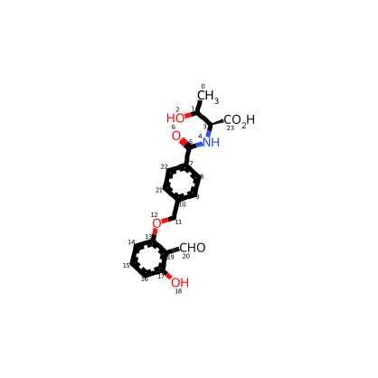 CC(O)[C@H](NC(=O)c1ccc(COc2cccc(O)c2C=O)cc1)C(=O)O